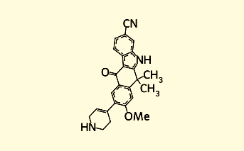 COc1cc2c(cc1C1=CCNCC1)C(=O)c1c([nH]c3cc(C#N)ccc13)C2(C)C